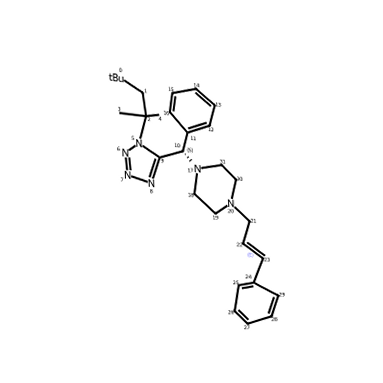 CC(C)(C)CC(C)(C)n1nnnc1[C@H](c1ccccc1)N1CCN(C/C=C/c2ccccc2)CC1